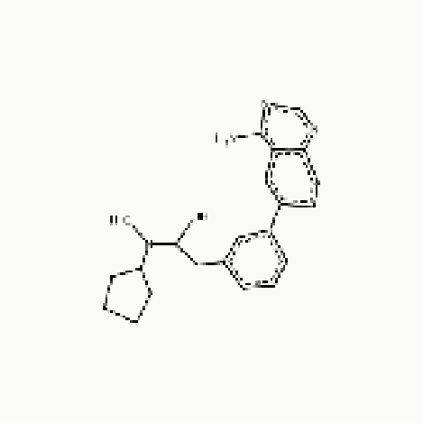 CN(C(O)Cc1cccc(-c2ccc3ncnc(N)c3c2)c1)C1CCCC1